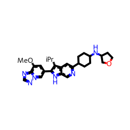 COc1cc(-c2[nH]c3cnc(C4CCC(NC5CCOC5)CC4)cc3c2C(C)C)cn2ncnc12